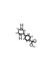 COC(=O)c1ccc(C2CNCCN2)cc1